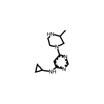 CC1CN(c2cc(NC3CC3)ncn2)CCN1